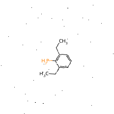 CCc1cccc(CC)c1P